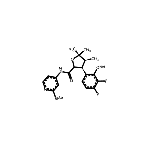 COc1c([C@H]2C(C(=O)Nc3ccnc(SC)c3)O[C@@](C)(C(F)(F)F)[C@H]2C)ccc(F)c1F